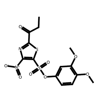 CCC(=O)c1nc([N+](=O)[O-])c(S(=O)(=O)Oc2ccc(OC)c(OC)c2)s1